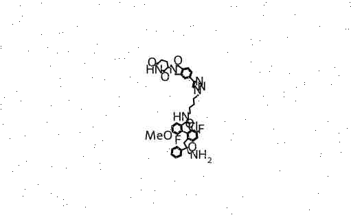 COc1ccc(C(=O)NCCCCCn2cc(-c3ccc4c(c3)CN(C3CCC(=O)NC3=O)C4=O)nn2)c(-c2c(Cl)c(F)cc3c2C[C@@](CN)(c2ccccc2)O3)c1F